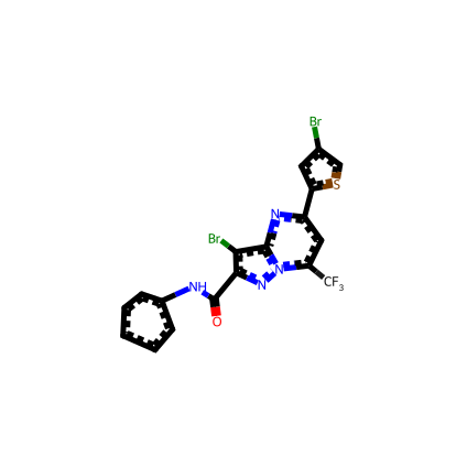 O=C(Nc1ccccc1)c1nn2c(C(F)(F)F)cc(-c3cc(Br)cs3)nc2c1Br